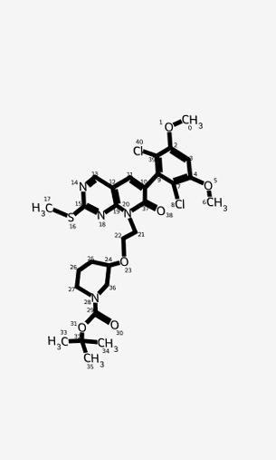 COc1cc(OC)c(Cl)c(-c2cc3cnc(SC)nc3n(CCOC3CCCN(C(=O)OC(C)(C)C)C3)c2=O)c1Cl